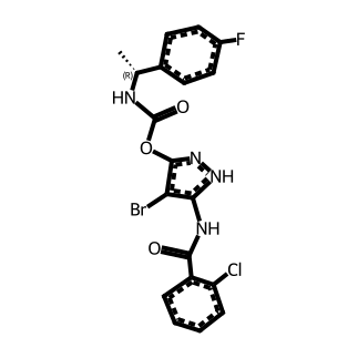 C[C@@H](NC(=O)Oc1n[nH]c(NC(=O)c2ccccc2Cl)c1Br)c1ccc(F)cc1